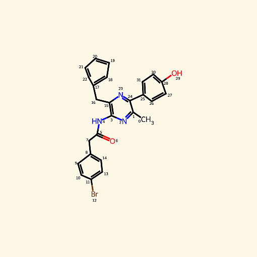 Cc1nc(NC(=O)Cc2ccc(Br)cc2)c(Cc2ccccc2)nc1-c1ccc(O)cc1